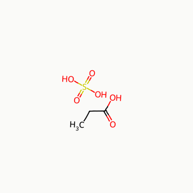 CCC(=O)O.O=S(=O)(O)O